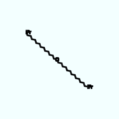 CC(C)CCCCCCCCCCCCCOCCCCCCCCCCCCCC(C)C